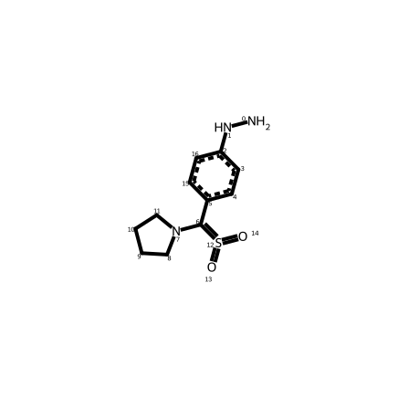 NNc1ccc(C(N2CCCC2)=S(=O)=O)cc1